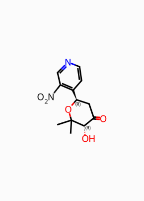 CC1(C)O[C@@H](c2ccncc2[N+](=O)[O-])CC(=O)[C@@H]1O